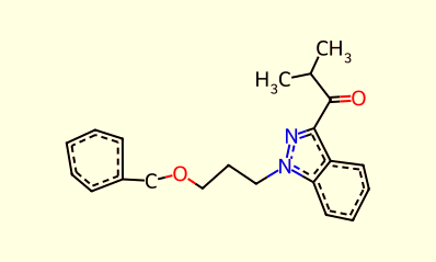 CC(C)C(=O)c1nn(CCCOCc2ccccc2)c2ccccc12